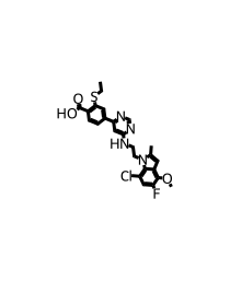 CCSc1cc(-c2cc(NCCn3c(C)cc4c(OC)c(F)cc(Cl)c43)ncn2)ccc1C(=O)O